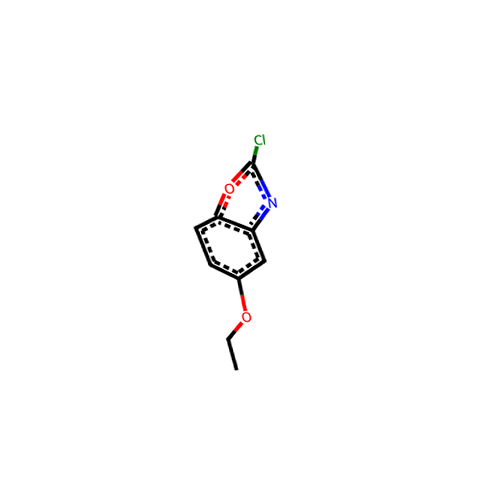 CCOc1ccc2oc(Cl)nc2c1